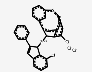 Clc1cccc2c1[CH]([Zr+2][CH]1c3cc4cc(cc(Cl)c41)sc1cccc3c1)C(c1ccccc1)=C2.[Cl-].[Cl-]